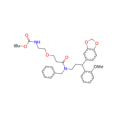 COc1ccccc1C(CCN(Cc1ccccc1)C(=O)CCOCCNC(=O)OC(C)(C)C)c1ccc2c(c1)OCO2